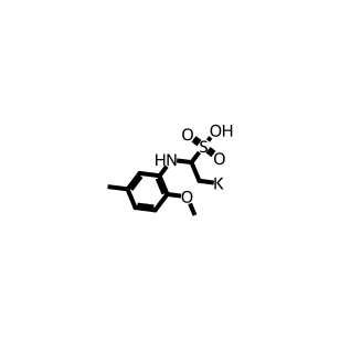 COc1ccc(C)cc1NC([CH2][K])S(=O)(=O)O